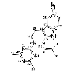 CC(C)=C[C@H]1c2[nH]c3ccc(Cl)cc3c2CCN1c1nc(C)nc(C)n1